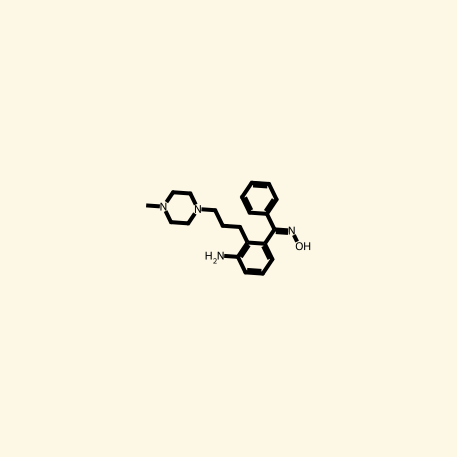 CN1CCN(CCCc2c(N)cccc2/C(=N\O)c2ccccc2)CC1